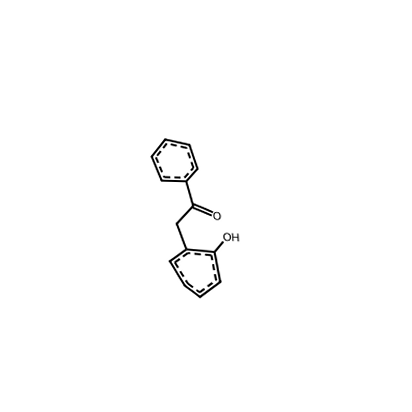 O=C(Cc1ccccc1O)c1ccccc1